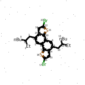 CCCCC(CC)Cc1cc2c(cc(CC(CC)CCCC)c3cc(Br)sc32)c2sc(Br)cc12